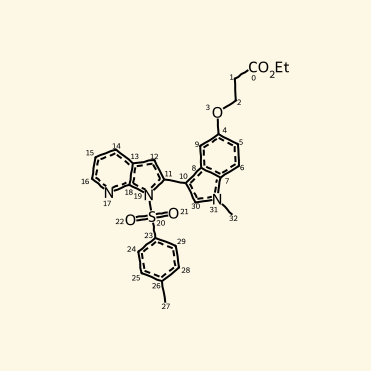 CCOC(=O)CCOc1ccc2c(c1)c(-c1cc3cccnc3n1S(=O)(=O)c1ccc(C)cc1)cn2C